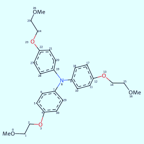 COCCOc1ccc(N(c2ccc(OCCOC)cc2)c2ccc(OCCOC)cc2)cc1